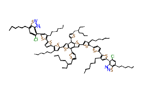 CCCCCCc1cc(-c2cc3c(-c4ccc(CC(CC)CCCC)s4)c4sc(-c5cc(CCCCCC)c(-c6ccc(-c7sc(-c8c(Cl)cc(CCCCCC)c9snnc89)cc7CCCCCC)s6)s5)cc4c(-c4ccc(CC(CC)CCCC)s4)c3s2)sc1-c1ccc(-c2sc(-c3c(Cl)cc(CCCCCC)c4snnc34)cc2CCCCCC)s1